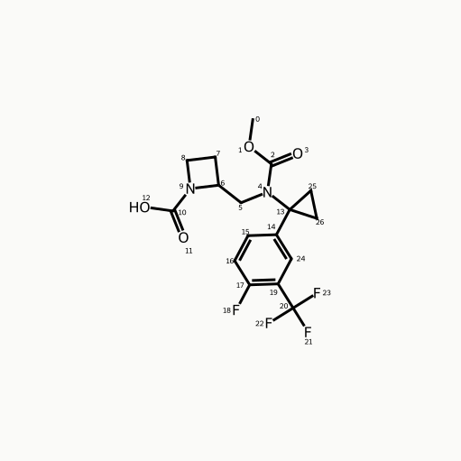 COC(=O)N(CC1CCN1C(=O)O)C1(c2ccc(F)c(C(F)(F)F)c2)CC1